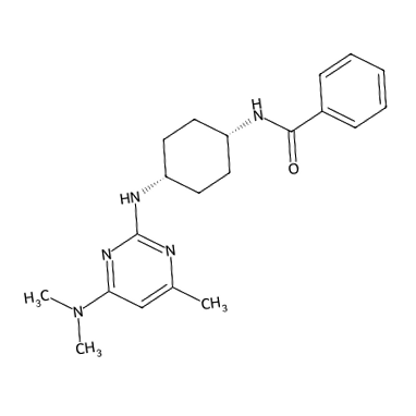 Cc1cc(N(C)C)nc(N[C@H]2CC[C@@H](NC(=O)c3ccccc3)CC2)n1